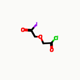 O=C(Cl)COCC(=O)I